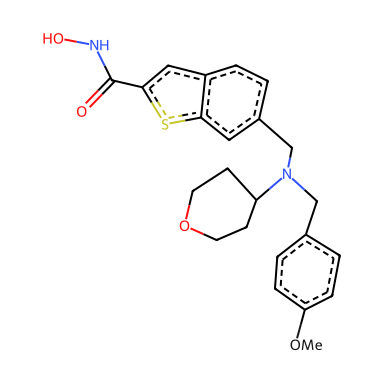 COc1ccc(CN(Cc2ccc3cc(C(=O)NO)sc3c2)C2CCOCC2)cc1